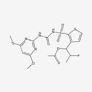 COc1cc(OC)nc(NC(=O)NS(=O)(=O)c2sccc2C(OC(C)=O)C(C)F)n1